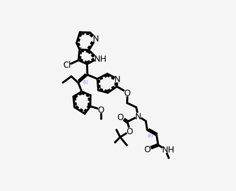 CC/C(=C(/c1ccc(OCCN(C/C=C/C(=O)NC)C(=O)OC(C)(C)C)nc1)c1[nH]c2ncccc2c1Cl)c1cccc(OC)c1